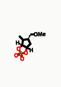 COC[C@@H]1C[C@@H]2OS(=O)(=O)O[C@H]2C1C